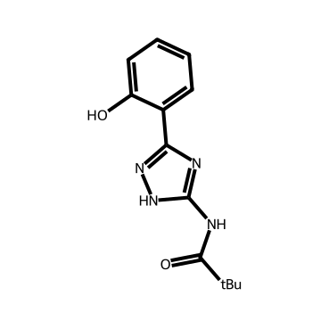 CC(C)(C)C(=O)Nc1nc(-c2ccccc2O)n[nH]1